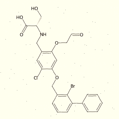 O=CCOc1cc(OCc2cccc(-c3ccccc3)c2Br)c(Cl)cc1CN[C@@H](CO)C(=O)O